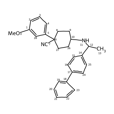 COc1cccc(C2(C#N)CCC(NC(C)c3ccc(-c4ccccc4)cc3)CC2)c1